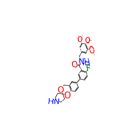 COc1cc(CNC(=O)c2cc(-c3ccc4c(c3)COC3(CCNCC3)O4)ccc2F)cc(OC)c1OC